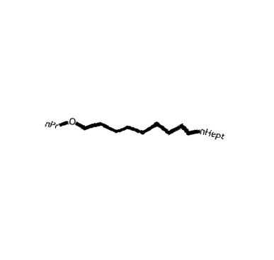 CCCCCCCCCCCCCCCCOCCC